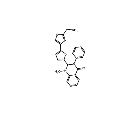 CN1c2ccccc2C(=O)N(c2ccccc2)C1c1ccc(-c2csc(CN)n2)s1